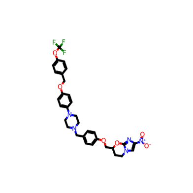 O=[N+]([O-])c1cn2c(n1)OC(COc1ccc(CN3CCN(c4ccc(OCc5ccc(OC(F)(F)F)cc5)cc4)CC3)cc1)CC2